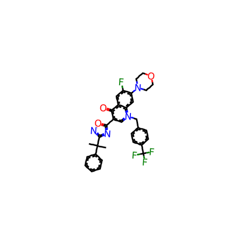 CC(C)(c1ccccc1)c1noc(-c2cn(Cc3ccc(C(F)(F)F)cc3)c3cc(N4CCOCC4)c(F)cc3c2=O)n1